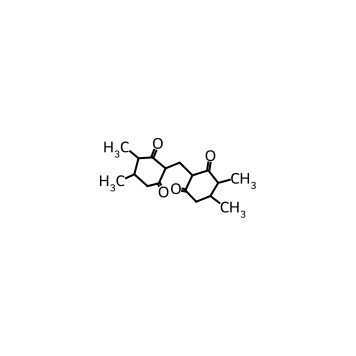 CC1CC(=O)C(CC2C(=O)CC(C)C(C)C2=O)C(=O)C1C